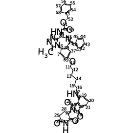 Cc1nnc2n1-c1ccc(OCCCCCCNc3cccc4c3C(=O)N(C3CCC(=O)NC3=O)C4=O)cc1C(c1ccccc1)=N[C@H]2NC(=O)OCc1ccccc1